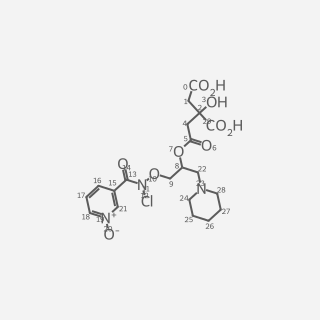 O=C(O)CC(O)(CC(=O)OC(CON(Cl)C(=O)c1ccc[n+]([O-])c1)CN1CCCCC1)C(=O)O